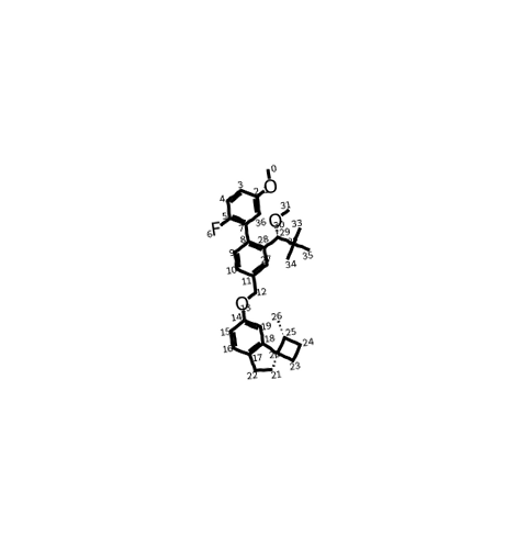 COc1ccc(F)c(-c2ccc(COc3ccc4c(c3)[C@]3(CC4)CC[C@H]3C)cc2[C@H](OC)C(C)(C)C)c1